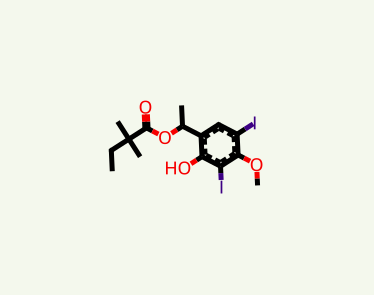 CCC(C)(C)C(=O)OC(C)c1cc(I)c(OC)c(I)c1O